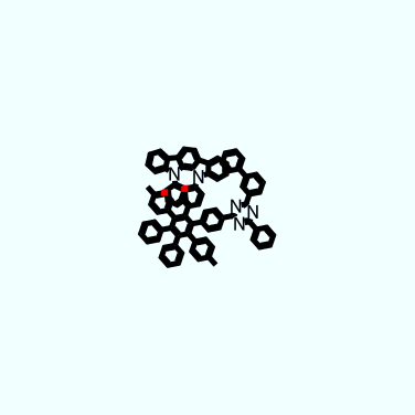 Cc1ccc(-c2c(-c3ccccc3)c(-c3ccccc3)c(-c3ccc(C)cc3)c(-c3ccc(-n4c5ccccc5c5ccc6c7ccccc7n(-c7ccccc7)c6c54)cc3)c2-c2ccc(-c3nc(-c4ccccc4)nc(-c4cccc(-c5ccccc5)c4)n3)cc2)cc1